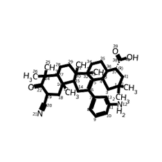 CC1(C)CC2C3=C(c4cccc(N)c4)CC4C5(C)CC(C#N)C(=O)C(C)(C)C5CCC4(C)C3(C)CCC2[C@H](C(=O)O)C1